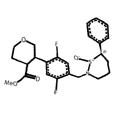 COC(=O)C1CCOCC1c1cc(F)c(CN2CCC[C@H](c3ccccc3)[S+]2[O-])cc1F